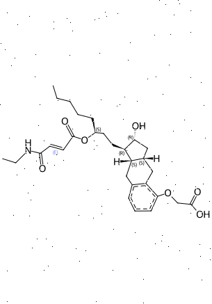 CCCCC[C@@H](CC[C@@H]1[C@H]2Cc3cccc(OCC(=O)O)c3C[C@H]2C[C@H]1O)OC(=O)/C=C/C(=O)NCC